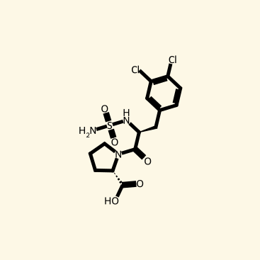 NS(=O)(=O)N[C@@H](Cc1ccc(Cl)c(Cl)c1)C(=O)N1CCC[C@H]1C(=O)O